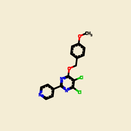 COc1ccc(COc2nc(-c3ccncc3)nc(Cl)c2Cl)cc1